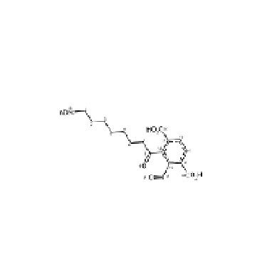 CCCCCCCCCCCCCCCCCC(=O)c1c(C(=O)O)ccc(C(=O)O)c1I=O